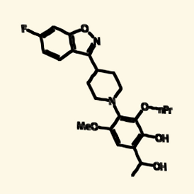 CCCOc1c(O)c(C(C)O)cc(OC)c1N1CCC(c2noc3cc(F)ccc23)CC1